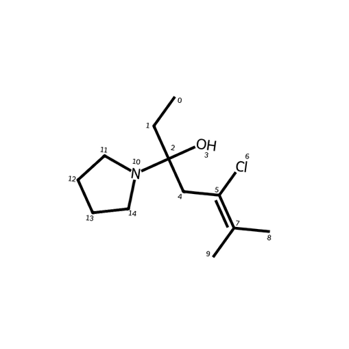 CCC(O)(CC(Cl)=C(C)C)N1CCCC1